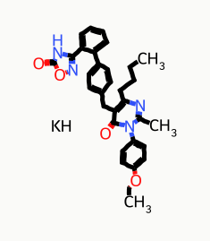 CCCCc1nc(C)n(-c2ccc(OCC)cc2)c(=O)c1Cc1ccc(-c2ccccc2-c2noc(=O)[nH]2)cc1.[KH]